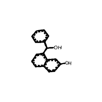 Oc1ccc2cccc(C(O)c3ccccc3)c2c1